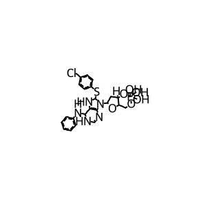 OP1(O)(O)OCC2OC(N3C4=C(NC3Sc3ccc(Cl)cc3)C(Nc3ccccc3)NC=N4)C[C@@H]2O1